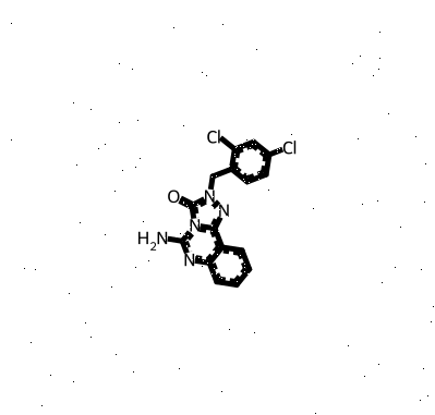 Nc1nc2ccccc2c2nn(Cc3ccc(Cl)cc3Cl)c(=O)n12